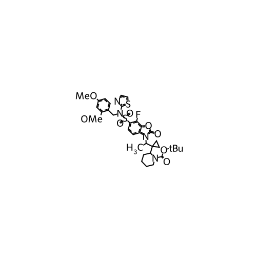 COc1ccc(CN(c2nccs2)S(=O)(=O)c2ccc3c(oc(=O)n3C(C)C3(C4CCCCN4C(=O)OC(C)(C)C)CC3)c2F)c(OC)c1